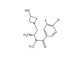 C[C@@H](CN1CC(O)C1)N(C)C(=O)c1ccc(Cl)c(F)c1